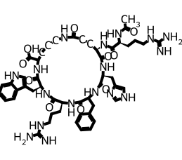 CC(=O)N[C@@H](CCCNC(=N)N)C(=O)N[C@H]1CCC(=O)NCCCC(C(=O)O)NC(=O)[C@H](Cc2c[nH]c3ccccc23)NC(=O)[C@H](CCCNC(=N)N)NC(=O)C(Cc2ccccc2)NC(=O)[C@H](Cc2c[nH]cn2)NC1=O